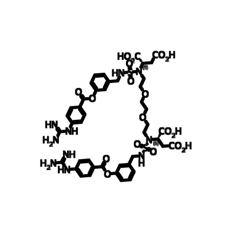 N=C(N)Nc1ccc(C(=O)Oc2cccc(CNS(=O)(=O)N(CCOCCOCCN([C@@H](CC(=O)O)C(=O)O)S(=O)(=O)NCc3cccc(OC(=O)c4ccc(NC(=N)N)cc4)c3)[C@@H](CC(=O)O)C(=O)O)c2)cc1